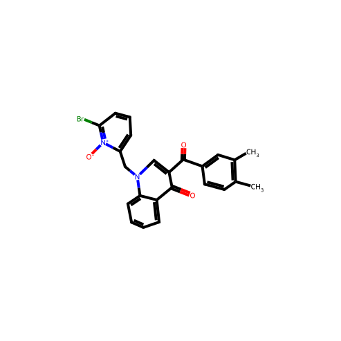 Cc1ccc(C(=O)c2cn(Cc3cccc(Br)[n+]3[O-])c3ccccc3c2=O)cc1C